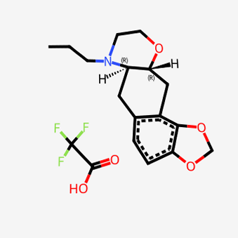 CCCN1CCO[C@@H]2Cc3c(ccc4c3OCO4)C[C@H]21.O=C(O)C(F)(F)F